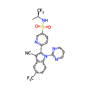 C[C@H](NS(=O)(=O)c1ccc(-c2c(C#N)c3cc(C(F)(F)F)ccc3n2-c2ncccn2)nc1)C(F)(F)F